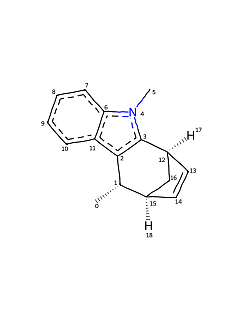 C[C@@H]1c2c(n(C)c3ccccc23)[C@H]2C=C[C@@H]1C2